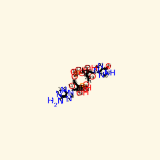 Nc1ncnc2c1ncn2C1OC2COP(=O)(O)O[C@@H]3C(COP(=O)(O)[C@H]2[C@H]1O)OC(n1cnc2c(=O)[nH]cnc21)[C@@H]3O